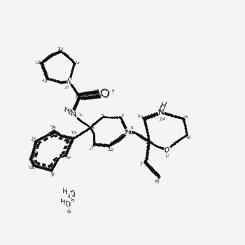 CCC1(N2CCC(NC(=O)N3CCCC3)(c3ccccc3)CC2)CNCCO1.Cl.O